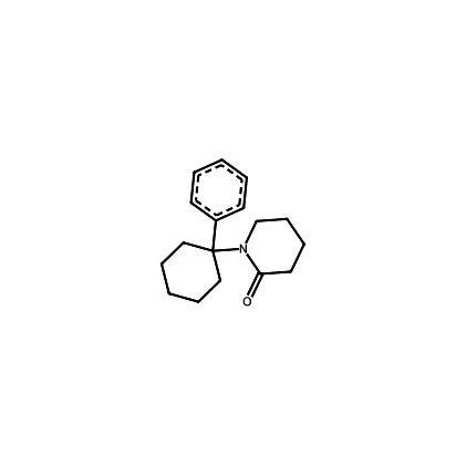 O=C1CCCCN1C1(c2ccccc2)CCCCC1